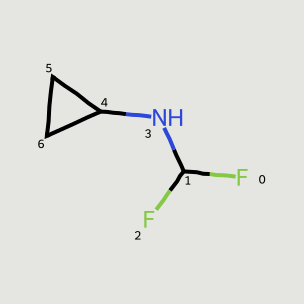 FC(F)NC1CC1